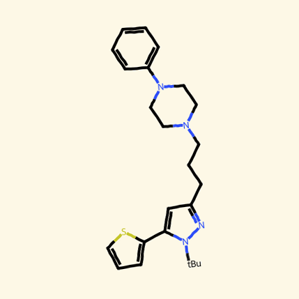 CC(C)(C)n1nc(CCCN2CCN(c3ccccc3)CC2)cc1-c1cccs1